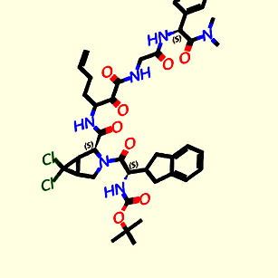 C=CCCC(NC(=O)[C@@H]1C2C(CN1C(=O)[C@@H](NC(=O)OC(C)(C)C)C1Cc3ccccc3C1)C2(Cl)Cl)C(=O)C(=O)NCC(=O)N[C@H](C(=O)N(C)C)c1ccccc1